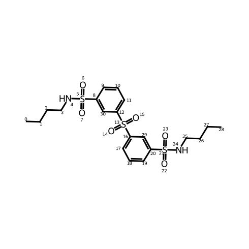 CCCCNS(=O)(=O)c1cccc(S(=O)(=O)c2cccc(S(=O)(=O)NCCCC)c2)c1